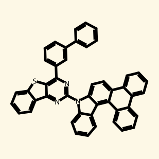 c1ccc(-c2cccc(-c3nc(-n4c5ccccc5c5c6c7ccccc7c7ccccc7c6ccc54)nc4c3sc3ccccc34)c2)cc1